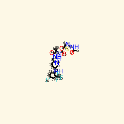 CC(=O)Nc1ncc(OC(=O)NC2(C(=O)NCc3ccc(Nc4ccc(F)cc4C(F)(F)F)cn3)CC2)s1